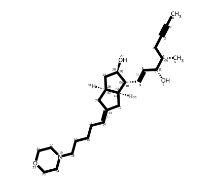 CC#CC[C@H](C)[C@H](O)/C=C/[C@@H]1[C@H]2C/C(=C/CCCCN3CCOCC3)C[C@H]2C[C@H]1O